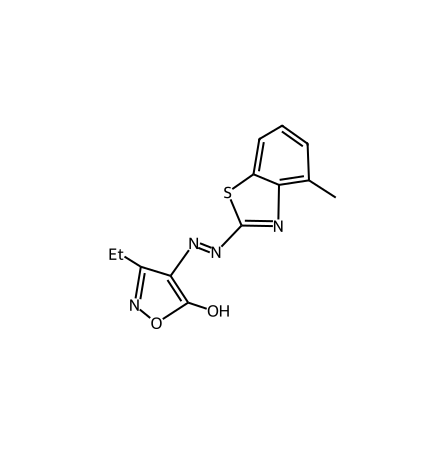 CCc1noc(O)c1N=Nc1nc2c(C)cccc2s1